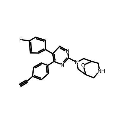 C#Cc1ccc(-c2nc(N3CC4CNCC(C3)O4)ncc2-c2ccc(F)cc2)cc1